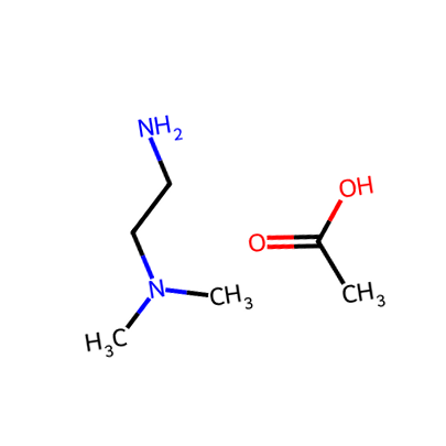 CC(=O)O.CN(C)CCN